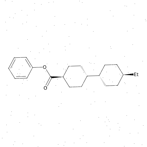 CC[C@H]1CC[C@H]([C@H]2CC[C@H](C(=O)Oc3ccccc3)CC2)CC1